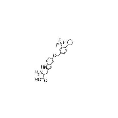 NC(Cc1cc2cc(OCc3ccc(C4CCCC4)c(C(F)(F)F)c3)ccc2[nH]1)C(=O)O